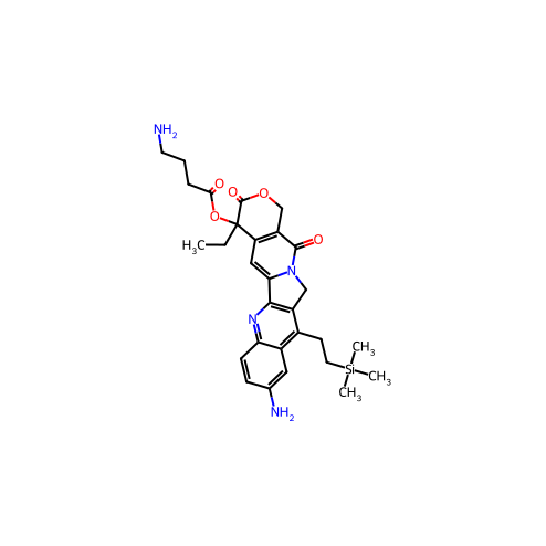 CCC1(OC(=O)CCCN)C(=O)OCc2c1cc1n(c2=O)Cc2c-1nc1ccc(N)cc1c2CC[Si](C)(C)C